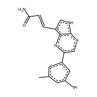 Cc1cc(-c2cnc3[nH]cc(/C=C/C(N)=O)c3n2)cc(C(C)C)c1